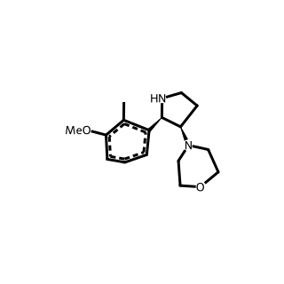 COc1cccc([C@H]2NCC[C@H]2N2CCOCC2)c1C